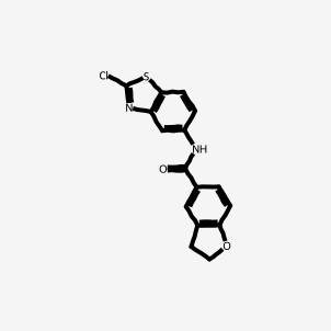 O=C(Nc1ccc2sc(Cl)nc2c1)c1ccc2c(c1)CCO2